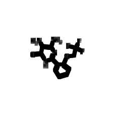 Nc1nc(-c2ccccc2OCC(F)(F)F)[nH]c(=O)c1N